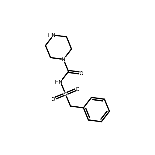 O=C(NS(=O)(=O)Cc1ccccc1)N1CCNCC1